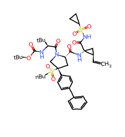 C=C[C@@H]1C[C@]1(NC(=O)[C@@H]1C[C@](c2ccc(-c3ccccc3)cc2)(S(=O)(=O)CCCC)CN1C(=O)[C@@H](NC(=O)OC(C)(C)C)C(C)(C)C)C(=O)NS(=O)(=O)C1CC1